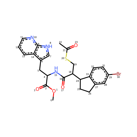 COC(=O)C(Cc1c[nH]c2ncccc12)NC(=O)C(CSC(C)=O)C1CCc2cc(Br)ccc21